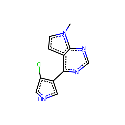 Cn1ccc2c(-c3c[nH]cc3Cl)ncnc21